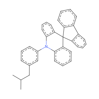 CC(C)Cc1cccc(N2c3ccccc3C3(c4ccccc4-c4ccccc43)c3ccccc32)c1